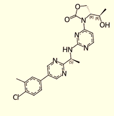 Cc1cc(-c2cnc([C@H](C)Nc3nccc(N4C(=O)OC[C@@H]4[C@@H](C)O)n3)nc2)ccc1Cl